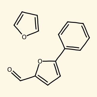 O=Cc1ccc(-c2ccccc2)o1.c1ccoc1